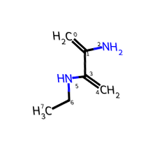 C=C(N)C(=C)NCC